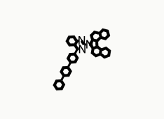 c1ccc(-c2ccc(-c3ccc(-c4nc(-n5c6ccc7ccccc7c6c6c7ccccc7ccc65)nc5ccccc45)cc3)cc2)cc1